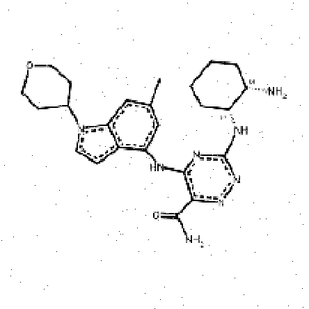 Cc1cc(Nc2nc(N[C@@H]3CCCC[C@@H]3N)nnc2C(N)=O)c2ccn(C3CCOCC3)c2c1